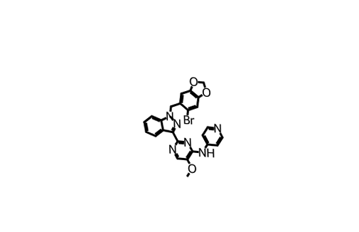 COc1cnc(-c2nn(Cc3cc4c(cc3Br)OCO4)c3ccccc23)nc1Nc1ccncc1